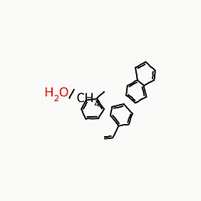 C.C=Cc1ccccc1.CC.Cc1ccccc1.O.c1ccc2ccccc2c1